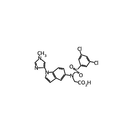 Cn1cnc(-n2ccc3cc(N(CC(=O)O)S(=O)(=O)c4cc(Cl)cc(Cl)c4)ccc32)c1